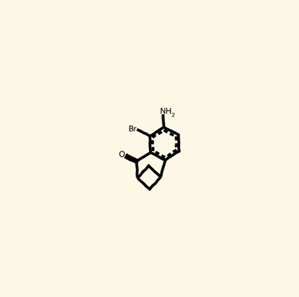 Nc1ccc2c(c1Br)C(=O)C1CC2C1